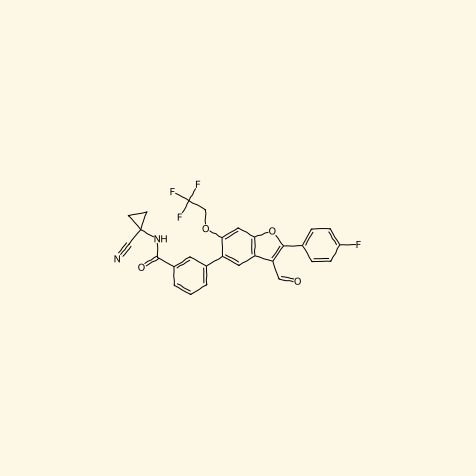 N#CC1(NC(=O)c2cccc(-c3cc4c(C=O)c(-c5ccc(F)cc5)oc4cc3OCC(F)(F)F)c2)CC1